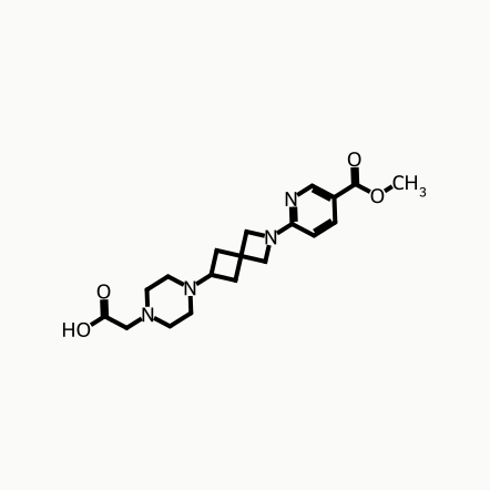 COC(=O)c1ccc(N2CC3(CC(N4CCN(CC(=O)O)CC4)C3)C2)nc1